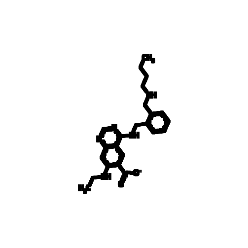 CCCCNCc1ccccc1CNc1ncnc2cc(NCC)c([N+](=O)[O-])cc12